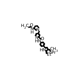 C=CC(=O)NC1CCCN(Cc2ccnc(C(=O)Nc3ccc(-c4cc(=C(\C)CCC)/c(=C\CC)[nH]4)cc3)c2)C1